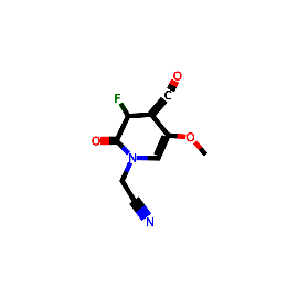 COC1=CN(CC#N)C(=O)C(F)C1=C=O